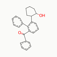 O=C(c1ccccc1)c1cccc(C2CCCCC2O)c1-c1ccccc1